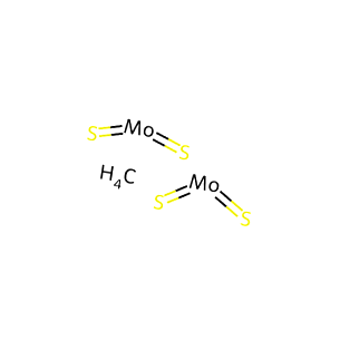 C.[S]=[Mo]=[S].[S]=[Mo]=[S]